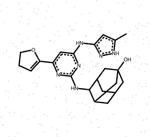 Cc1cc(Nc2cc(C3=CCCO3)nc(NC3C4CC5CC3CC(O)(C5)C4)n2)n[nH]1